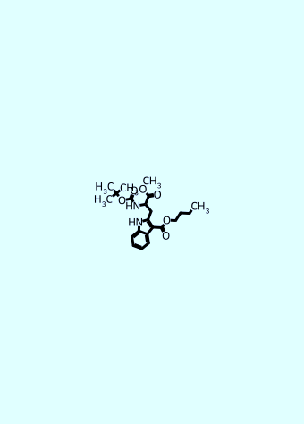 CCCCOC(=O)c1c(CC(NC(=O)OC(C)(C)C)C(=O)OC)[nH]c2ccccc12